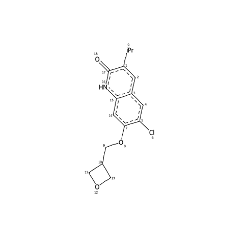 CC(C)c1cc2cc(Cl)c(OCC3COC3)cc2[nH]c1=O